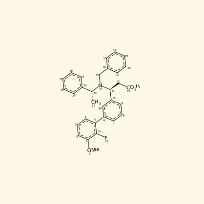 COc1cccc(-c2cccc([C@H](CC(=O)O)N(Cc3ccccc3)[C@H](C)c3ccccc3)c2)c1F